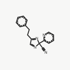 N#CC1(c2ccccn2)N=CC(CCc2ccccc2)=N1